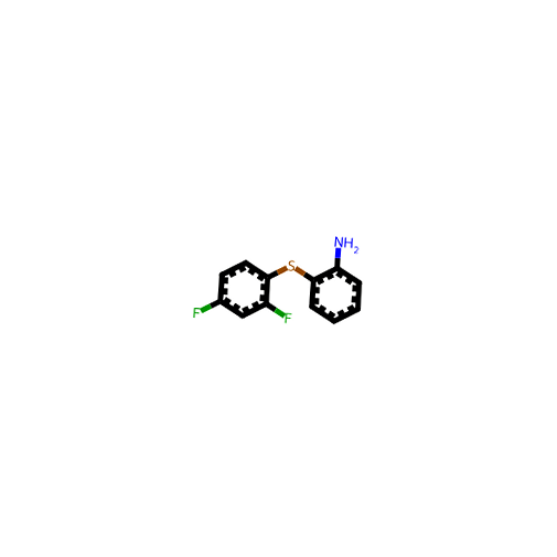 Nc1ccccc1Sc1ccc(F)cc1F